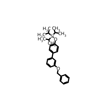 CC(C)[Si](Oc1ccc(-c2cccc(OCc3ccccc3)c2)cc1)(C(C)C)C(C)C